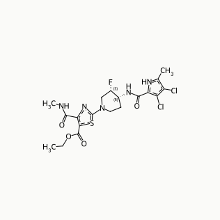 CCOC(=O)c1sc(N2CC[C@@H](NC(=O)c3[nH]c(C)c(Cl)c3Cl)[C@@H](F)C2)nc1C(=O)NC